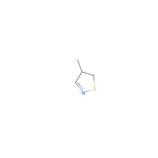 CC1C=NSC1